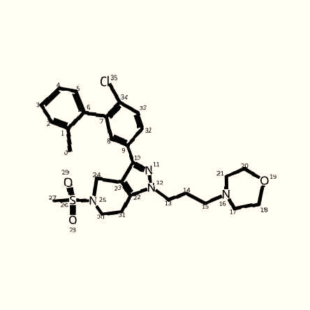 Cc1ccccc1-c1cc(-c2nn(CCCN3CCOCC3)c3c2CN(S(C)(=O)=O)CC3)ccc1Cl